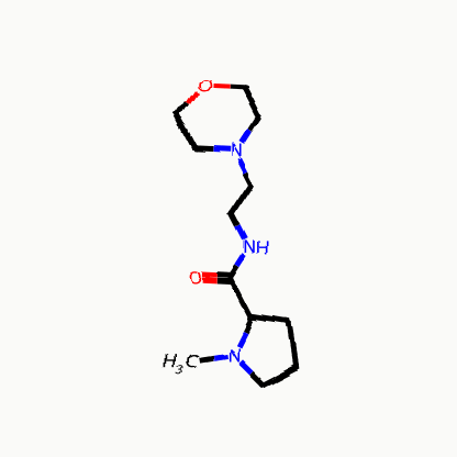 CN1CCCC1C(=O)NCCN1CCOCC1